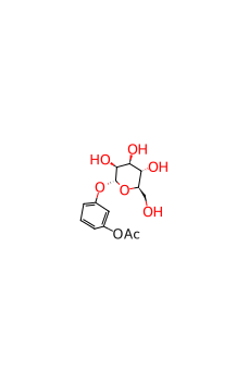 CC(=O)Oc1cccc(O[C@H]2O[C@H](CO)[C@@H](O)[C@H](O)[C@@H]2O)c1